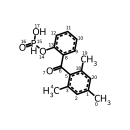 Cc1cc(C)c(C(=O)c2ccccc2O[PH](=O)O)c(C)c1